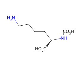 NCCCC[C@@H](NC(=O)O)C(=O)O